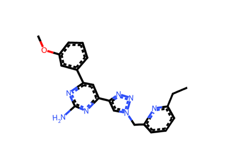 CCc1cccc(Cn2cc(-c3cc(-c4cccc(OC)c4)nc(N)n3)nn2)n1